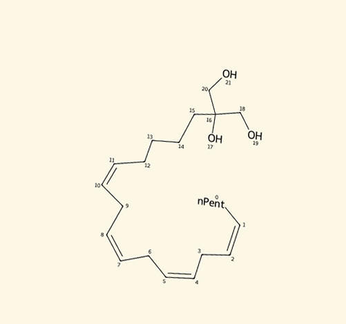 CCCCC/C=C\C/C=C\C/C=C\C/C=C\CCCCC(O)(CO)CO